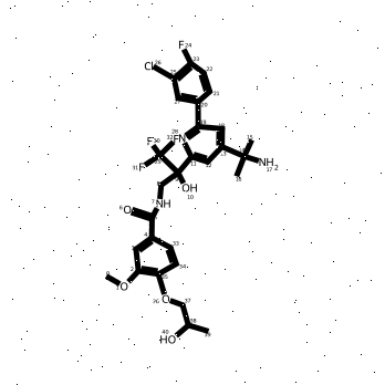 COc1cc(C(=O)NCC(O)(c2cc(C(C)(C)N)cc(-c3ccc(F)c(Cl)c3)n2)C(F)(F)F)ccc1OCC(C)O